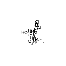 N/C(=N/[N+](=O)[O-])NCCC[C@@H](NC(=O)COc1ccc(Cl)cc1Cl)C(=O)O